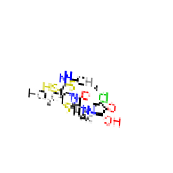 CC(=O)N(C1C(=O)N2CC(C(=O)O)(C(S)c3nnc(C)s3)CS[C@H]12)n1cc(O)c(=O)c(Cl)c1